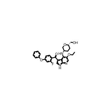 CCOc1cnc2[nH]cc(C(=O)c3ccc(Oc4ccccc4)cc3F)c2c1N[C@@H]1CC[C@@H](CO)OC1